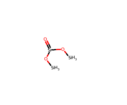 O=[Si](O[SiH3])O[SiH3]